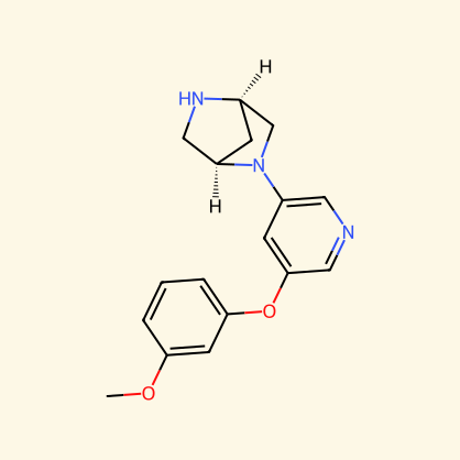 COc1cccc(Oc2cncc(N3C[C@H]4C[C@@H]3CN4)c2)c1